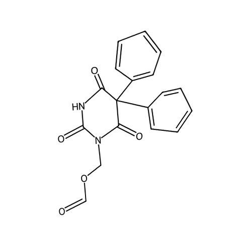 O=COCN1C(=O)NC(=O)C(c2ccccc2)(c2ccccc2)C1=O